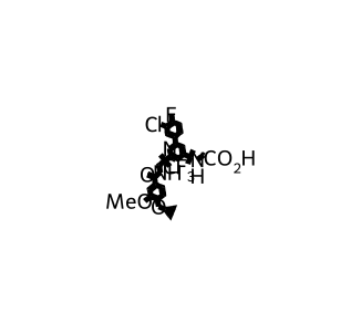 COc1cc(C(=O)NCC(C)(c2cc(C(C)(C)NCC(=O)O)cc(-c3ccc(F)c(Cl)c3)n2)C(F)(F)F)ccc1OC1CC1